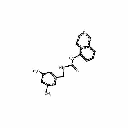 Cc1cc(C)cc(CNC(=O)Nc2cccc3cnccc23)c1